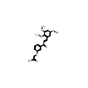 COc1cc(/C=C/C(=O)c2cccc(OCC(=O)O)c2)c(OC)c(OC)c1